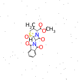 C=C1C[S+]([O-])[C@@H]2C(N3C(=O)c4ccccc4C3=O)C(=O)N2C1C(=O)OC